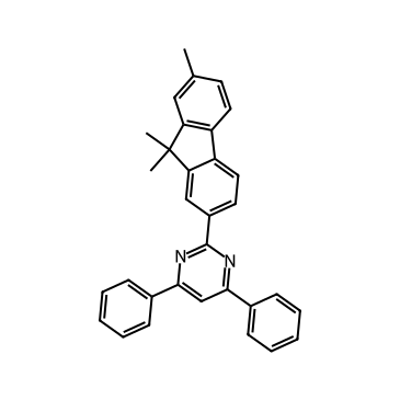 Cc1ccc2c(c1)C(C)(C)c1cc(-c3nc(-c4ccccc4)cc(-c4ccccc4)n3)ccc1-2